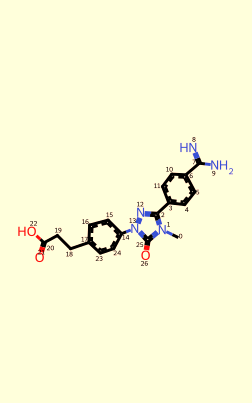 Cn1c(-c2ccc(C(=N)N)cc2)nn(-c2ccc(CCC(=O)O)cc2)c1=O